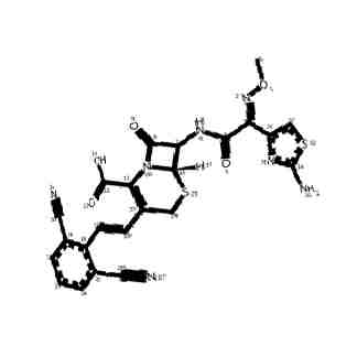 CON=C(C(=O)NC1C(=O)N2C(C(=O)O)=C(C=Cc3c(C#N)cccc3C#N)CS[C@@H]12)c1csc(N)n1